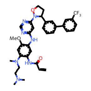 C=CC(=O)Nc1cc(Nc2cc(N3OCCC3c3cccc(-c4cccc(C(F)(F)F)c4)c3)ncn2)c(OC)cc1N(C)CCN(C)C